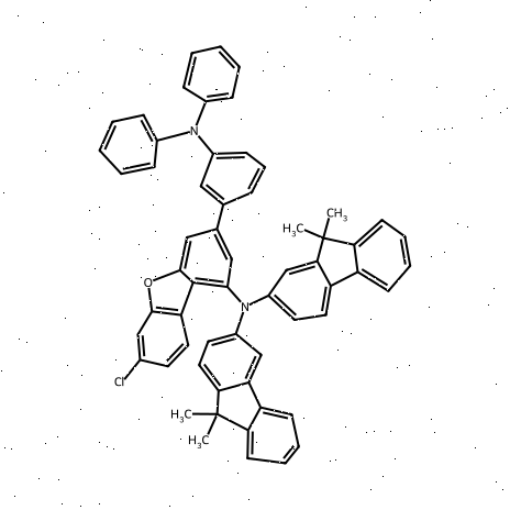 CC1(C)c2ccccc2-c2cc(N(c3ccc4c(c3)C(C)(C)c3ccccc3-4)c3cc(-c4cccc(N(c5ccccc5)c5ccccc5)c4)cc4oc5cc(Cl)ccc5c34)ccc21